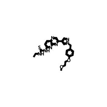 CCNC(=S)Nc1ccc2ncc(-c3cnn(Cc4ccc(OCCOC)cc4)c3)nc2n1